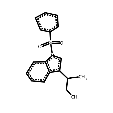 CCC(C)c1cn(S(=O)(=O)c2ccccc2)c2ccccc12